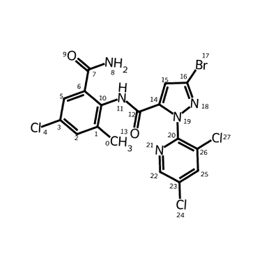 Cc1cc(Cl)cc(C(N)=O)c1NC(=O)c1cc(Br)nn1-c1ncc(Cl)cc1Cl